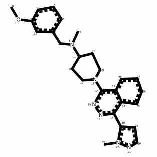 COc1cccc(CN(C)C2CCN(c3nnc(-c4ccnn4C)c4ccccc34)CC2)c1